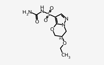 CCO[C@H]1COc2c(S(=O)(=O)NC(N)=O)cnn2C1